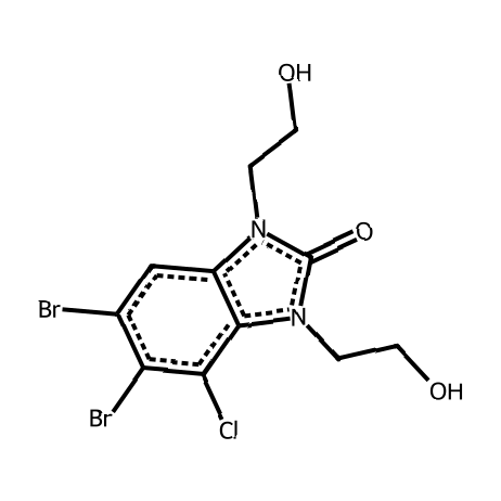 O=c1n(CCO)c2cc(Br)c(Br)c(Cl)c2n1CCO